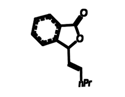 CCCC=CC1OC(=O)c2ccccc21